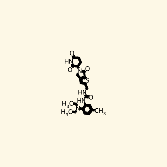 CCN(CC)c1ccc(C)cc1NC(=O)NCc1cc2c(s1)C(=O)N(C1CCC(=O)NC1=O)C2